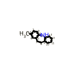 Cc1ccc2c(c1)C=Cc1ccccc1N2